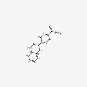 NC(=O)c1ccc(C2CNc3ccccc3C2)cc1